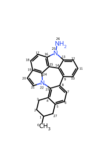 CC1CCc2c(ccc3c4cccc5c4c4c(ccc6ccn(c23)c64)n5N)C1